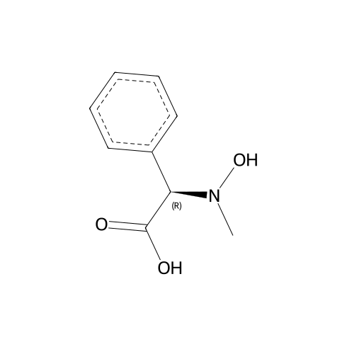 CN(O)[C@@H](C(=O)O)c1ccccc1